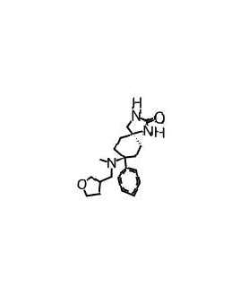 CN(CC1CCOC1)[C@]1(c2ccccc2)CC[C@]2(CC1)CNC(=O)N2